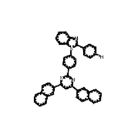 [2H]c1ccc(-c2nc3ccccc3n2-c2ccc(-c3nc(-c4ccc5ccccc5c4)cc(-c4ccc5ccccc5c4)n3)cc2)cc1